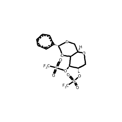 O=S(=O)(O[C@H]1CO[C@@H]2CO[C@@H](c3ccccc3)OC2[C@@H]1OS(=O)(=O)C(F)(F)F)C(F)(F)F